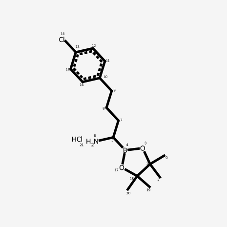 CC1(C)OB(C(N)CCCc2ccc(Cl)cc2)OC1(C)C.Cl